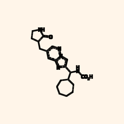 O=C(O)NC(c1cn2ncc(CC3CCNC3=O)cc2n1)C1CCCCCC1